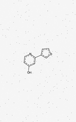 Oc1ccnc(-c2ccoc2)c1